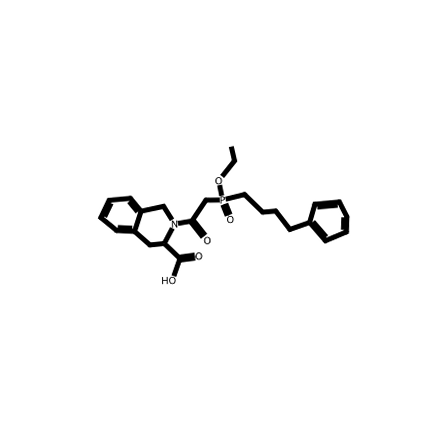 CCOP(=O)(CCCCc1ccccc1)CC(=O)N1Cc2ccccc2CC1C(=O)O